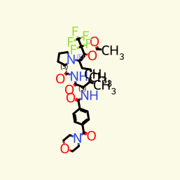 CCC/C(=C(\OC(C)=O)C(F)(F)C(F)(F)F)N1CCC[C@H]1C(=O)NC(=O)[C@@H](NC(=O)c1ccc(C(=O)N2CCOCC2)cc1)C(C)C